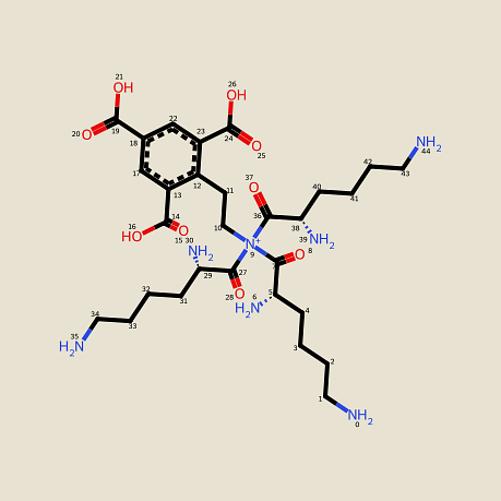 NCCCC[C@H](N)C(=O)[N+](CCc1c(C(=O)O)cc(C(=O)O)cc1C(=O)O)(C(=O)[C@@H](N)CCCCN)C(=O)[C@@H](N)CCCCN